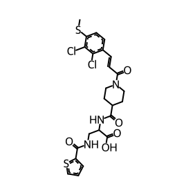 CSc1ccc(C=CC(=O)N2CCC(C(=O)NC(CNC(=O)c3cccs3)C(=O)O)CC2)c(Cl)c1Cl